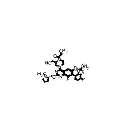 C=CC(=O)N1CCN(c2nc(OC[C@@H]3CCCN3C)nc3c(F)c(-c4ccc(F)c5sc(N)nc45)c(Cl)cc23)CC1CC#N